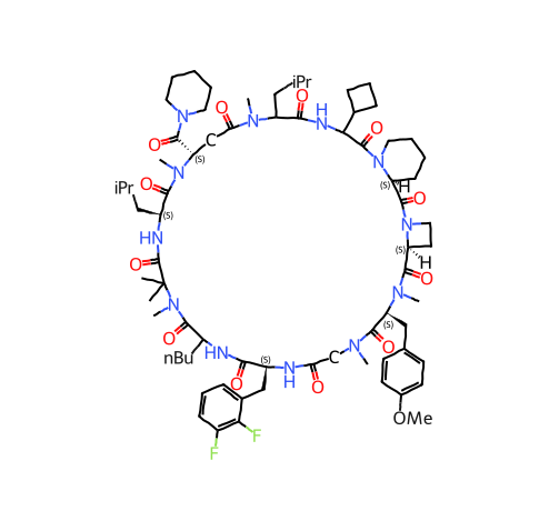 CCCCC1NC(=O)[C@H](Cc2cccc(F)c2F)NC(=O)CN(C)C(=O)[C@H](Cc2ccc(OC)cc2)N(C)C(=O)[C@@H]2CCN2C(=O)[C@@H]2CCCCN2C(=O)C(C2CCC2)NC(=O)C(CC(C)C)N(C)C(=O)C[C@@H](C(=O)N2CCCCC2)N(C)C(=O)[C@H](CC(C)C)NC(=O)C(C)(C)N(C)C1=O